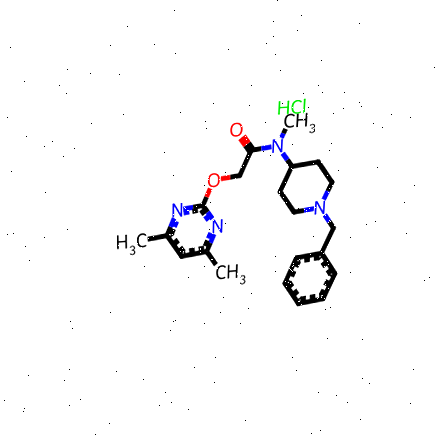 Cc1cc(C)nc(OCC(=O)N(C)C2CCN(Cc3ccccc3)CC2)n1.Cl